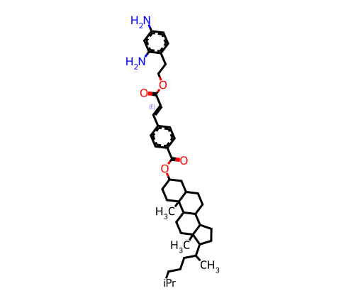 CC(C)CCCC(C)C1CCC2C3CCC4CC(OC(=O)c5ccc(/C=C/C(=O)OCCc6ccc(N)cc6N)cc5)CCC4(C)C3CCC12C